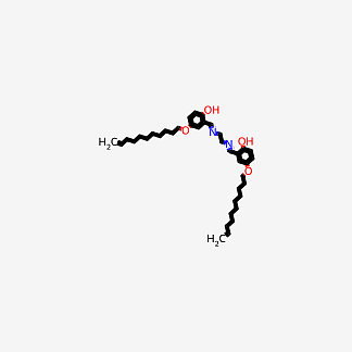 C=CCCCCCCCCCOc1ccc(O)c(/C=N/CC/N=C/c2cc(OCCCCCCCCCC=C)ccc2O)c1